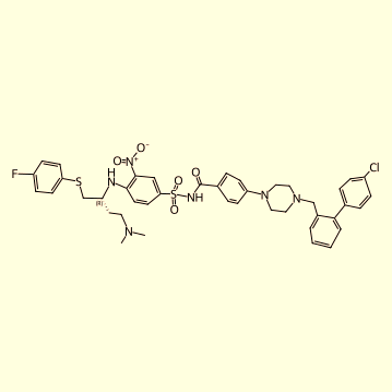 CN(C)CC[C@H](CSc1ccc(F)cc1)Nc1ccc(S(=O)(=O)NC(=O)c2ccc(N3CCN(Cc4ccccc4-c4ccc(Cl)cc4)CC3)cc2)cc1[N+](=O)[O-]